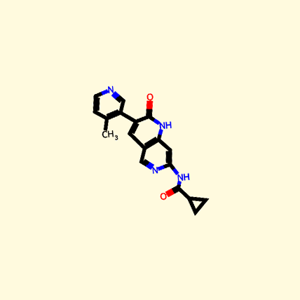 Cc1ccncc1-c1cc2cnc(NC(=O)C3CC3)cc2[nH]c1=O